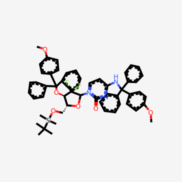 COc1ccc(C(Nc2ccn(C3O[C@H](CO[Si](C)(C)C(C)(C)C)[C@@H](OC(c4ccccc4)(c4ccccc4)c4ccc(OC)cc4)C3(F)F)c(=O)n2)(c2ccccc2)c2ccccc2)cc1